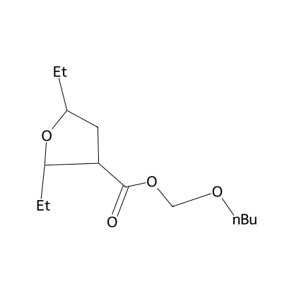 CCCCOCOC(=O)C1CC(CC)OC1CC